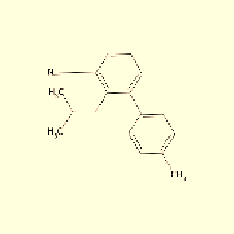 Cc1ccc(-c2cccc(C#N)c2CC(C)C)cc1